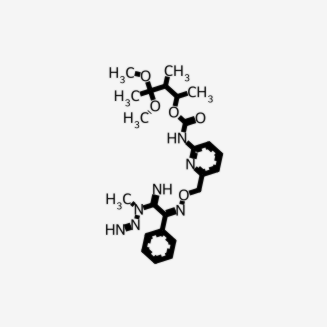 COC(C)(OC)C(C)C(C)OC(=O)Nc1cccc(CO/N=C(\C(=N)N(C)N=N)c2ccccc2)n1